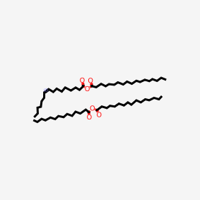 CCCCCC/C=C\CCCCCCCC(=O)OC(=O)CCCCCCCCCCCCCCCCC.CCCCCCCCCCCCCCCC(=O)OC(=O)CCCCCCCCCCCCC